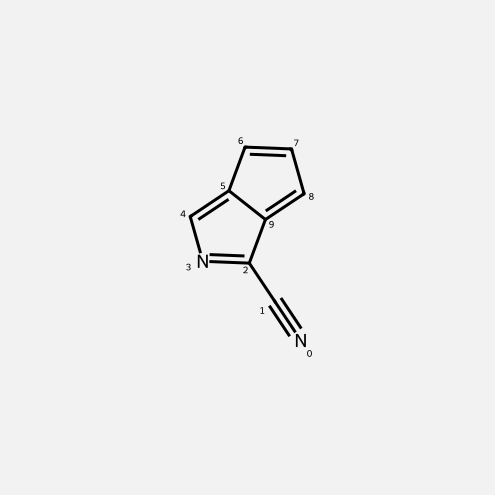 N#CC1=NC=C2C=CC=C21